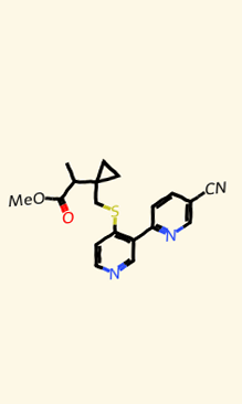 COC(=O)C(C)C1(CSc2ccncc2-c2ccc(C#N)cn2)CC1